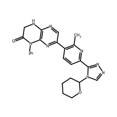 Cc1nc(-c2nncn2C2CCCCO2)ccc1-c1cnc2c(n1)N(C(C)C)C(=O)CN2